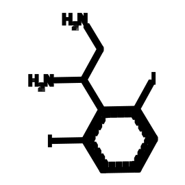 NCC(N)c1c(I)cccc1I